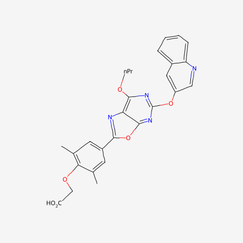 CCCOc1nc(Oc2cnc3ccccc3c2)nc2oc(-c3cc(C)c(OCC(=O)O)c(C)c3)nc12